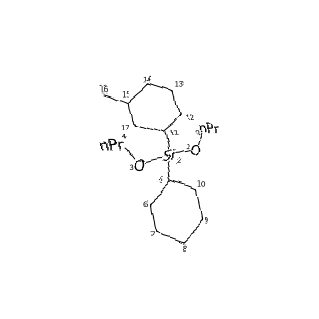 CCCO[Si](OCCC)(C1CCCCC1)C1CCCC(C)C1